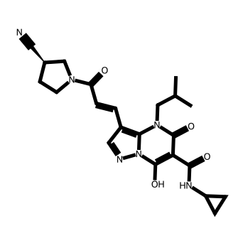 CC(C)Cn1c(=O)c(C(=O)NC2CC2)c(O)n2ncc(/C=C/C(=O)N3CC[C@@H](C#N)C3)c12